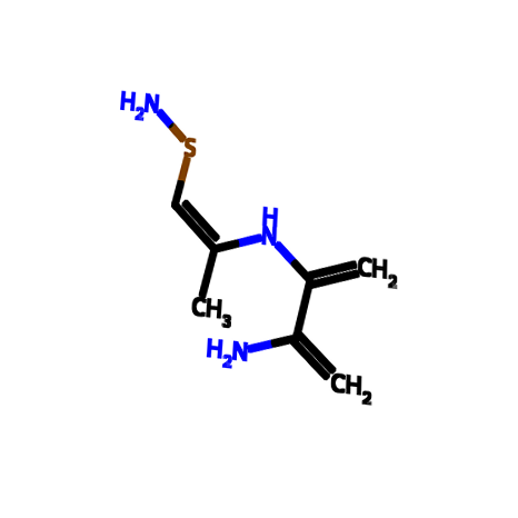 C=C(N)C(=C)N/C(C)=C\SN